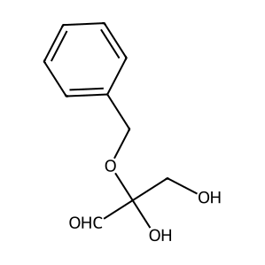 O=CC(O)(CO)OCc1ccccc1